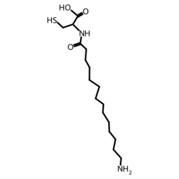 NCCCCCCCCCCCCCC(=O)NC(CS)C(=O)O